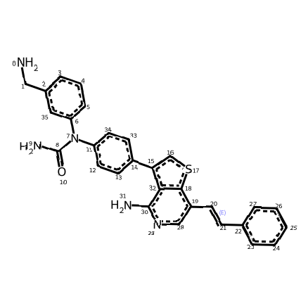 NCc1cccc(N(C(N)=O)c2ccc(-c3csc4c(/C=C/c5ccccc5)cnc(N)c34)cc2)c1